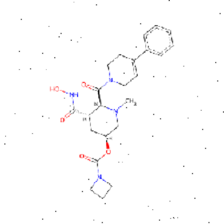 CN1C[C@@H](OC(=O)N2CCC2)C[C@H](C(=O)NO)[C@H]1C(=O)N1CC=C(c2ccccc2)CC1